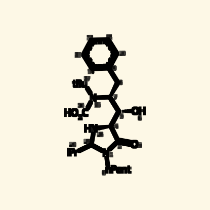 CCCCCN1C(=O)[C@H]([C@@H](O)[C@H](Cc2ccccc2)N(C(=O)O)C(C)(C)C)NC1C(C)C